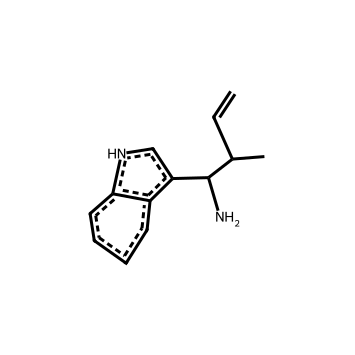 C=CC(C)C(N)c1c[nH]c2ccccc12